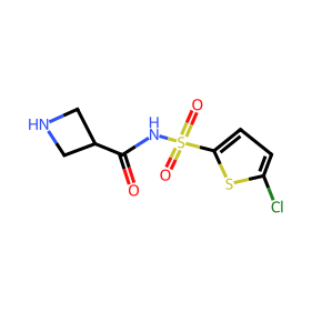 O=C(NS(=O)(=O)c1ccc(Cl)s1)C1CNC1